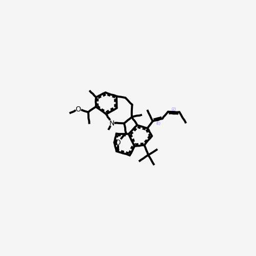 C/C=C\C=C(/C)c1cc(C(C)(C)C)c2ccccc2c1C1(C)CCc2cc(C)c(C(C)OC)c(c2)N(C)C1COC